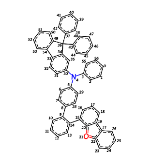 c1ccc(N(c2ccc(-c3ccccc3-c3cccc4c3oc3ccccc34)cc2)c2ccc3c(c2)C(c2ccccc2)(c2ccccc2)c2ccccc2-3)cc1